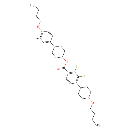 CCCCOc1ccc(C2CCC(OC(=O)c3ccc(C4CCC(OCCCC)CC4)c(F)c3F)CC2)cc1F